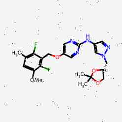 COc1cc(C)c(F)c(COc2cnc(Nc3cnn(C[C@@H]4COC(C)(C)O4)c3)nc2)c1F